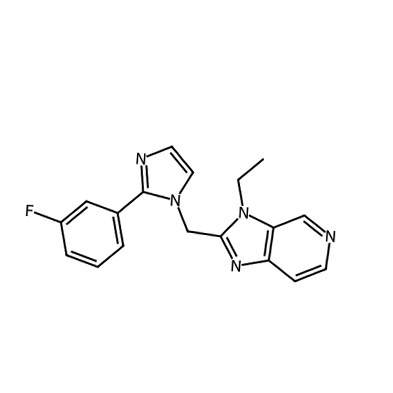 CCn1c(Cn2ccnc2-c2cccc(F)c2)nc2ccncc21